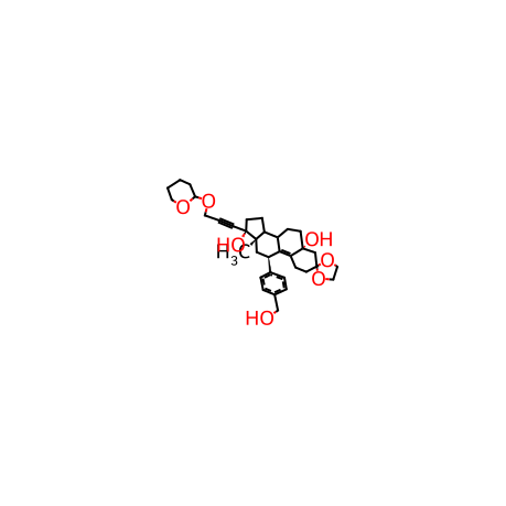 C[C@]12C[C@H](c3ccc(CO)cc3)C3=C4CCC5(C[C@]4(O)CCC3C1CC[C@@]2(O)C#CCOC1CCCCO1)OCCO5